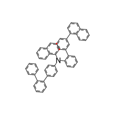 c1ccc(-c2ccccc2-c2ccc(N(c3ccccc3-c3cccc(-c4cccc5ccccc45)c3)c3cccc4ccccc34)cc2)cc1